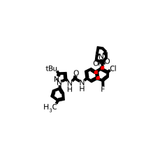 Cc1ccc(-n2nc(C(C)(C)C)cc2NC(=O)Nc2ccc(CC3CC4CCC(C3)N4S(=O)(=O)c3ccc(F)cc3Cl)cc2)cc1